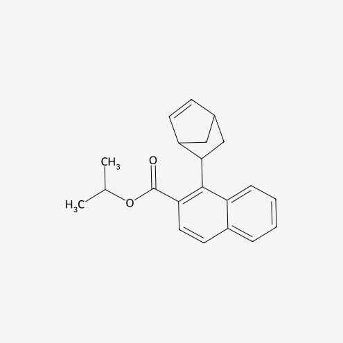 CC(C)OC(=O)c1ccc2ccccc2c1C1CC2C=CC1C2